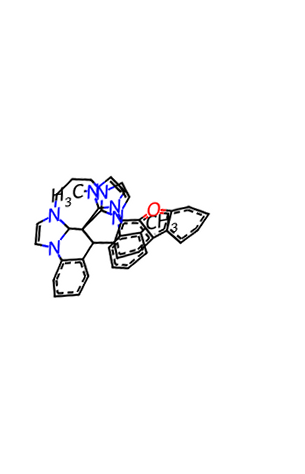 Cc1ccccc1N1C=CN2CCCN3C=CN4c5ccccc5C5c6ccc7c(oc8ccccc87)c6N6C=CN(C)C6C5(C21)C34